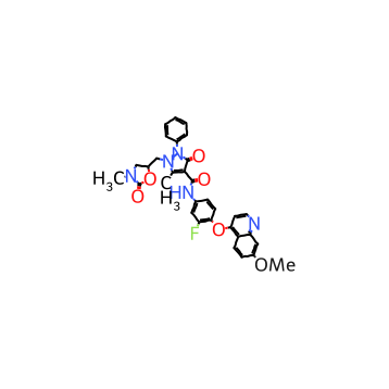 COc1ccc2c(Oc3ccc(NC(=O)c4c(C)n(CC5CN(C)C(=O)O5)n(-c5ccccc5)c4=O)cc3F)ccnc2c1